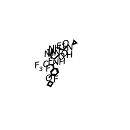 CC[C@H](NC(=O)[C@H](Cc1nc[nH]n1)N[C@@H](c1ccc(F)c(OC2CCC2)c1)C(F)(F)C(F)(F)F)C(=O)C(=O)NC1CC1